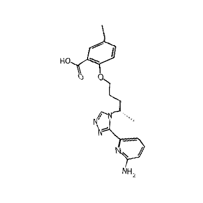 C[C@@H](CCCOc1ccc(I)cc1C(=O)O)n1cnnc1-c1cccc(N)n1